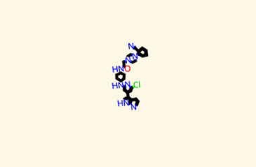 N#Cc1ccccc1N1CCN(CC(=O)N[C@H]2CC[C@H](Nc3cc(-c4c[nH]c5ncccc45)cc(Cl)n3)CC2)CC1